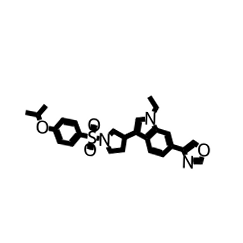 CCn1cc(C2CCN(S(=O)(=O)c3ccc(OC(C)C)cc3)C2)c2ccc(-c3cocn3)cc21